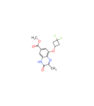 COC(=O)c1cc(OC2CC(F)(F)C2)c2nc(C)c(=O)[nH]c2c1